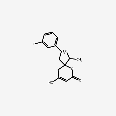 CC(C)C1(CCc2cccc(F)c2)CC(O)=CC(=O)O1